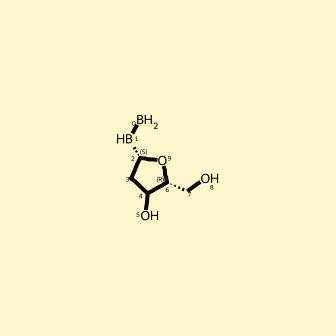 BB[C@H]1CC(O)[C@@H](CO)O1